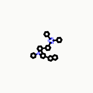 c1ccc(-c2nc(-c3ccccc3)nc(-c3cccc(-c4cccc5c4c4cc(-c6ccc7ccccc7c6)ccc4n5-c4ccccc4)c3)n2)cc1